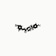 CC(=O)c1ccc(S(=O)(=O)N2CCN(C(=O)C=Cc3ccc(Br)cc3F)CC2)cc1